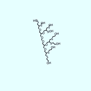 OCCSCC(COCC(COCOCC(COCC(CSO)SO)OCC(CSO)SO)OCC(CSCCO)SCCO)SCCO